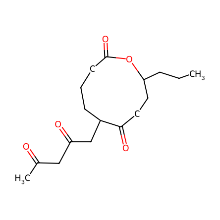 CCCC1CCC(=O)C(CC(=O)CC(C)=O)CCCC(=O)O1